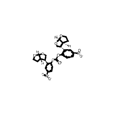 O=C(Oc1ccc([N+](=O)[O-])cc1[C@@H]1CO[C@H]2OCC[C@H]21)Oc1ccc([N+](=O)[O-])cc1[C@@H]1CO[C@H]2OCC[C@H]21